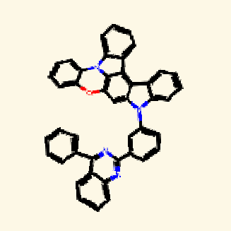 c1ccc(-c2nc(-c3cccc(-n4c5ccccc5c5c6c7ccccc7n7c6c(cc54)Oc4ccccc4-7)c3)nc3ccccc23)cc1